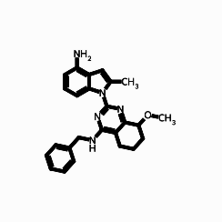 COC1CCCc2c(NCc3ccccc3)nc(-n3c(C)cc4c(N)cccc43)nc21